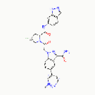 C=N/C=C(\C=C/N)c1ccc2c(c1)c(C(N)=O)nn2CC(=O)N1C[C@H](F)CC1C(=O)Nc1ccc2cn[nH]c2c1